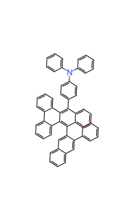 c1ccc(-c2cc3ccccc3cc2-c2c3ccccc3c(-c3ccc(N(c4ccccc4)c4ccccc4)cc3)c3c4ccccc4c4ccccc4c23)cc1